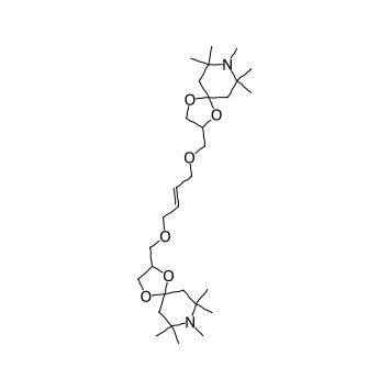 CN1C(C)(C)CC2(CC1(C)C)OCC(COCC=CCOCC1COC3(CC(C)(C)N(C)C(C)(C)C3)O1)O2